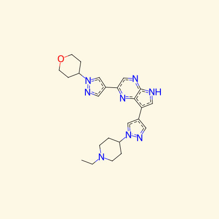 CCN1CCC(n2cc(-c3c[nH]c4ncc(-c5cnn(C6CCOCC6)c5)nc34)cn2)CC1